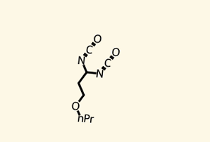 CCCOCCC(N=C=O)N=C=O